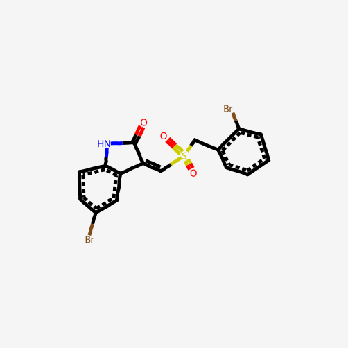 O=C1Nc2ccc(Br)cc2C1=CS(=O)(=O)Cc1ccccc1Br